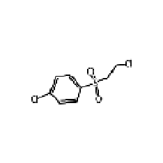 O=S(=O)(CCCl)c1ccc(Cl)cc1